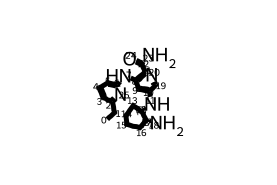 CCc1cccc(Nc2cc(N[C@@H]3CCCC[C@@H]3N)cnc2C(N)=O)n1